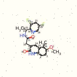 COc1ccc2[nH]c(=O)c(CC(=O)N[C@@H](C)c3ncc(F)cc3F)cc2c1C